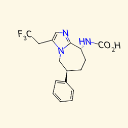 O=C(O)N[C@@H]1CC[C@@H](c2ccccc2)Cn2c(CC(F)(F)F)cnc21